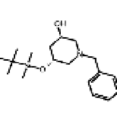 CC(C)(C)[Si](C)(C)O[C@@H]1C[C@@H](O)CN(Cc2ccccc2)C1